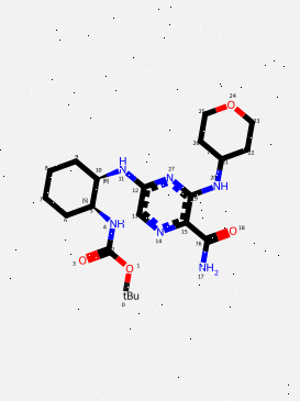 CC(C)(C)OC(=O)N[C@H]1CCCC[C@H]1Nc1cnc(C(N)=O)c(NC2CCOCC2)n1